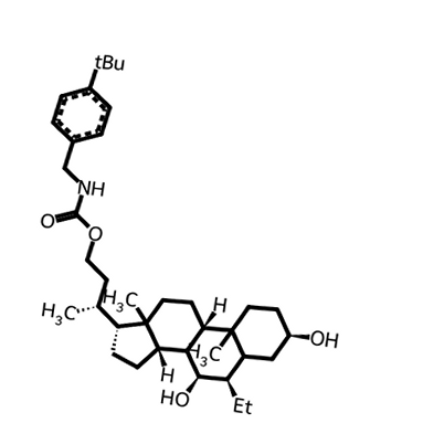 CC[C@@H]1C2C[C@H](O)CCC2(C)[C@H]2CCC3(C)[C@@H]([C@H](C)CCOC(=O)NCc4ccc(C(C)(C)C)cc4)CC[C@H]3C2[C@@H]1O